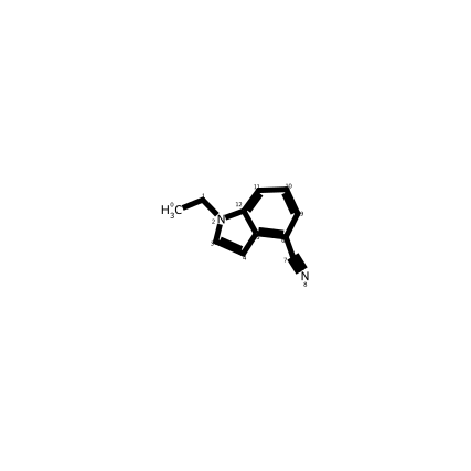 CCn1ccc2c(C#N)cccc21